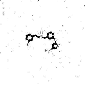 Cc1csc(Oc2cccc(CNCCc3cccc(Cl)c3)c2)c1